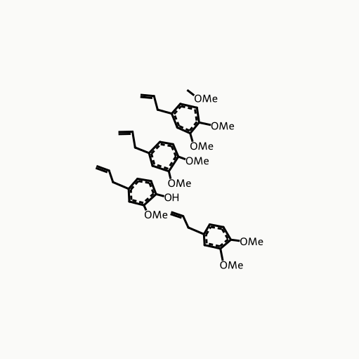 C=CCc1ccc(O)c(OC)c1.C=CCc1ccc(OC)c(OC)c1.C=CCc1ccc(OC)c(OC)c1.C=CCc1ccc(OC)c(OC)c1.COC